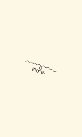 CCC(=O)OC(C)C.CCCCCCCCCCCCCCCC